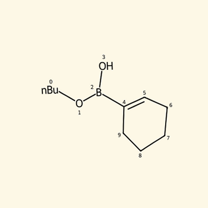 CCCCOB(O)C1=CCCCC1